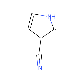 N#CC1[CH]NC=C1